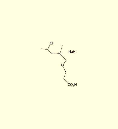 CC(Cl)CC(C)COCCC(=O)O.[NaH]